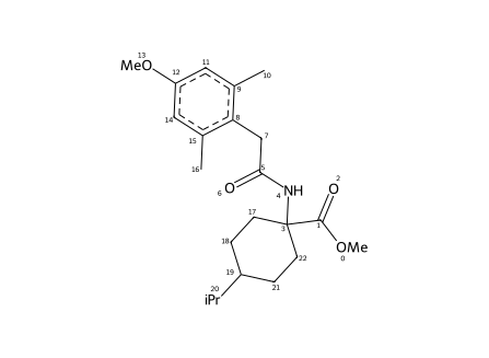 COC(=O)C1(NC(=O)Cc2c(C)cc(OC)cc2C)CCC(C(C)C)CC1